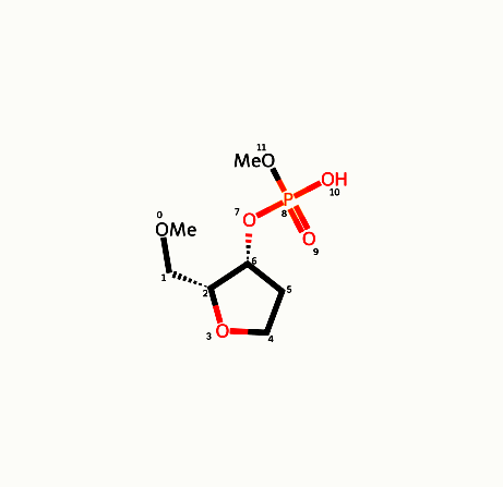 COC[C@H]1OCC[C@H]1OP(=O)(O)OC